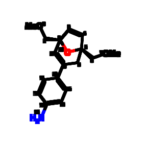 COC[C@]12C=C[C@](COC)(CC(c3ccc(N)cc3)=C1)O2